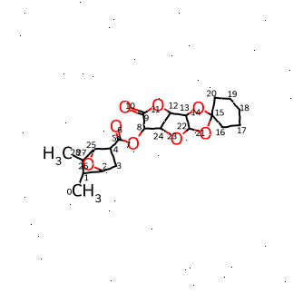 CC1C2CC(C(=O)OC3C(=O)OC4C5OC6(CCCCC6)OC5OC34)C(O2)C1C